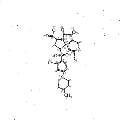 CN1CCN(c2ccc(S(=O)(=O)C3CC(C(=O)O)N(C(=O)C4(c5ccc(Cl)nc5)CC4)C3)c(Cl)c2)CC1